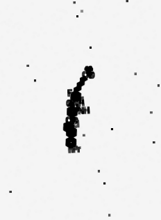 C=C(C)C(=O)OCCCCCCc1cc(F)c(NC(=O)c2ccc(C(=O)Oc3ccc4cc(C5CCC(CCC)CC5)ccc4c3Cl)cc2C=N)cc1F